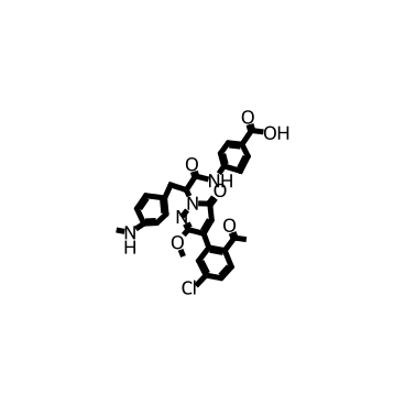 CNc1ccc(CC(C(=O)Nc2ccc(C(=O)O)cc2)n2nc(OC)c(-c3cc(Cl)ccc3C(C)=O)cc2=O)cc1